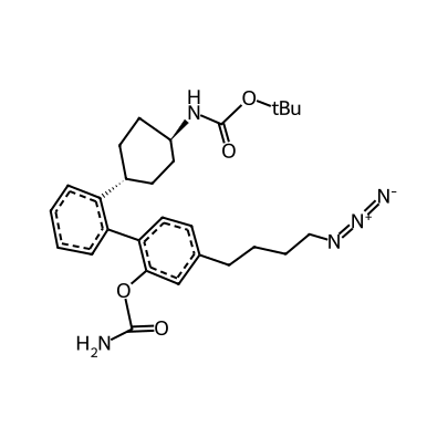 CC(C)(C)OC(=O)N[C@H]1CC[C@H](c2ccccc2-c2ccc(CCCCN=[N+]=[N-])cc2OC(N)=O)CC1